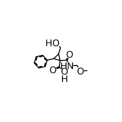 COCNC(=O)C1(C(=O)O)C(CO)C1c1ccccc1